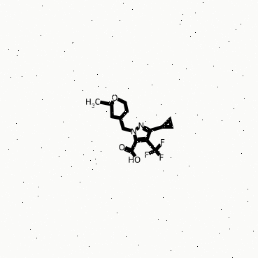 CC1CC(Cn2nc(C3CC3)c(C(F)(F)F)c2C(=O)O)CCO1